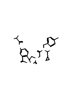 CC(C)C(N)C(=O)Nc1ccc2c(c1)C(=O)C[C@]21CN(CC(=O)N(Cc2ccc(F)cc2)C(C2CC2)C(F)(F)F)C(=O)O1